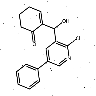 O=C1CCCC=C1C(O)c1cc(-c2ccccc2)cnc1Cl